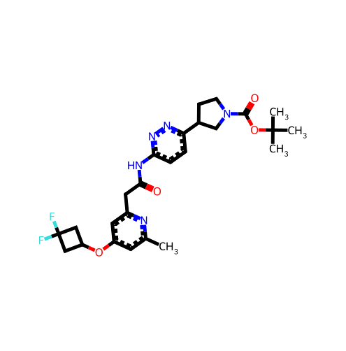 Cc1cc(OC2CC(F)(F)C2)cc(CC(=O)Nc2ccc(C3CCN(C(=O)OC(C)(C)C)C3)nn2)n1